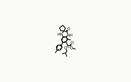 COC(=O)[C@@H](OCC(C)C)c1c(-c2ccc(C)cc2)cc2c(c1C)NC(=O)C1(CCCC1)N2